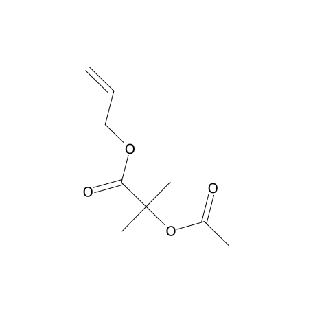 C=CCOC(=O)C(C)(C)OC(C)=O